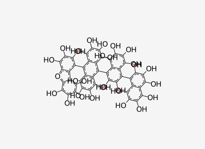 Oc1c(O)c(O)c2c(oc3c(O)c(O)c(O)c(-c4c5c(O)c(O)c(O)c(O)c5c(-c5c(O)c(O)c(-c6c(O)c(O)c(O)c7c(O)c(O)c(O)c(O)c67)c6c(O)c(O)c(O)c(O)c56)c5c(O)c(O)c(O)c(O)c45)c32)c1O